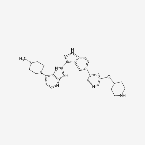 CN1CCN(c2ccnc3[nH]c(-c4n[nH]c5cnc(-c6cncc(OC7CCNCC7)c6)cc45)nc23)CC1